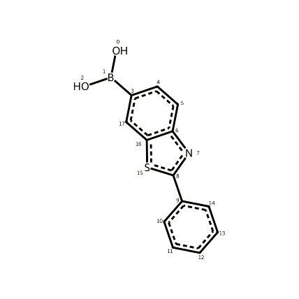 OB(O)c1ccc2nc(-c3ccccc3)sc2c1